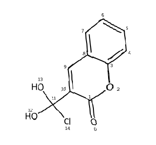 O=c1oc2ccccc2cc1C(O)(O)Cl